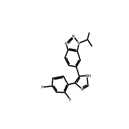 CC(C)n1nnc2ccc(-c3[nH]cnc3-c3ccc(F)cc3F)cc21